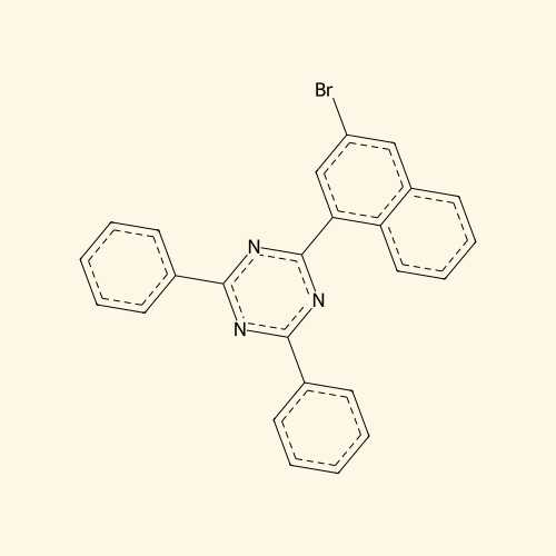 Brc1cc(-c2nc(-c3ccccc3)nc(-c3ccccc3)n2)c2ccccc2c1